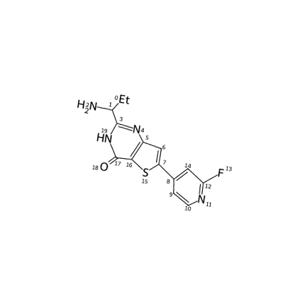 CCC(N)c1nc2cc(-c3ccnc(F)c3)sc2c(=O)[nH]1